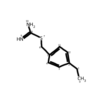 CCc1ccc(CSC(=N)N)cc1